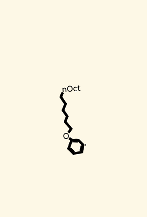 CCCCCCCCCCCCCCOc1c[c]ccc1